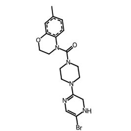 Cc1ccc2c(c1)OCCN2C(=O)N1CCN(C2=NC=C(Br)NC2)CC1